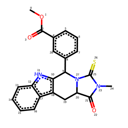 COC(=O)c1cccc(C2c3[nH]c4ccccc4c3CC3C(=O)N(C)C(=S)N32)c1